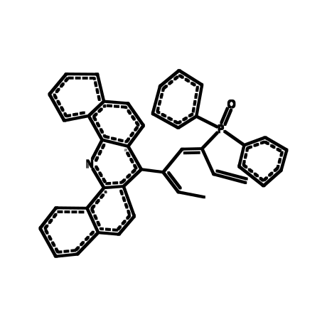 C=C/C(=C\C(=C/C)c1c2ccc3ccccc3c2nc2c1ccc1ccccc12)P(=O)(c1ccccc1)c1ccccc1